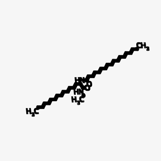 CCCCCCCCCCCCCCCCCC(=O)NC(CCCCCCCCCCCCCC)C(=O)NCC